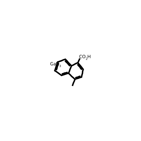 Cc1ccc(C(=O)O)c2ccccc12.[GaH3]